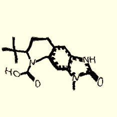 Cn1c(=O)[nH]c2cc3c(cc21)N(C(=O)O)C(C(C)(C)C)CC3